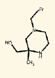 CC(C)CN1CCNC(C)(CO)C1